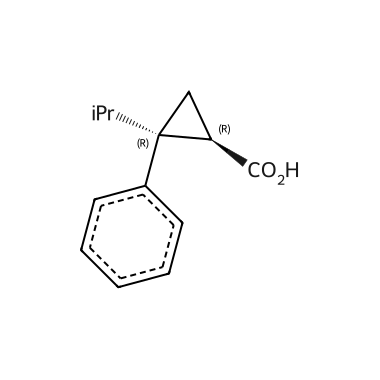 CC(C)[C@]1(c2ccccc2)C[C@H]1C(=O)O